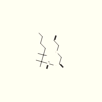 C=CCNCC=C.CCCCC(F)(F)C(F)(F)S(=O)(=O)O